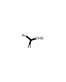 CCC([C]=O)C(C)=O